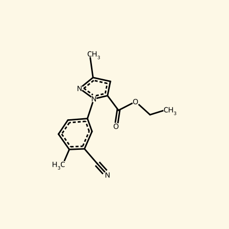 CCOC(=O)c1cc(C)nn1-c1ccc(C)c(C#N)c1